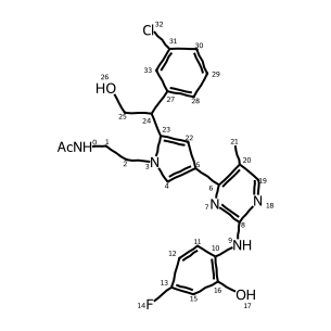 CC(=O)NCCn1cc(-c2nc(Nc3ccc(F)cc3O)ncc2C)cc1C(CO)c1cccc(Cl)c1